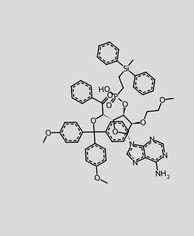 COCCO[C@@H]1[C@H](OP(=O)(O)CC[Si](C)(c2ccccc2)c2ccccc2)[C@@H](C(OC(c2ccccc2)(c2ccc(OC)cc2)c2ccc(OC)cc2)C(=O)c2ccccc2)O[C@H]1n1cnc2c(N)ncnc21